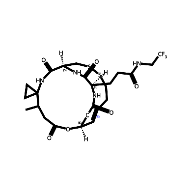 CC1CC(=O)O[C@@H]2/C=C/CCSSC[C@@H](NC(=O)[C@@H](CCC(=O)NCC(F)(F)F)NC(=O)C2)C(=O)NC12CC2